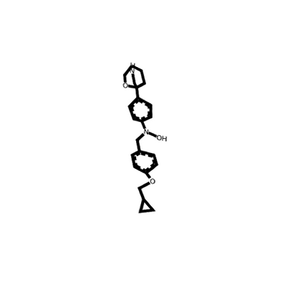 ON(Cc1ccc(OCC2CC2)cc1)c1ccc(C23CCC(CO2)NC3)cc1